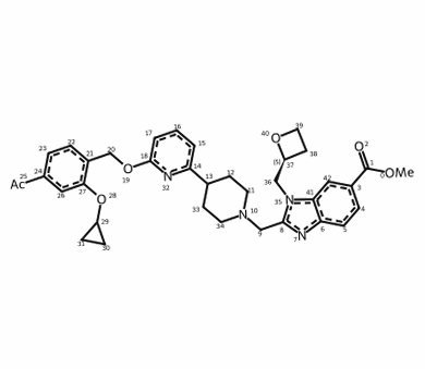 COC(=O)c1ccc2nc(CN3CCC(c4cccc(OCc5ccc(C(C)=O)cc5OC5CC5)n4)CC3)n(C[C@@H]3CCO3)c2c1